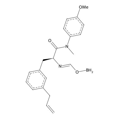 BOC=N[C@@H](Cc1cccc(CC=C)c1)C(=O)N(C)c1ccc(OC)cc1